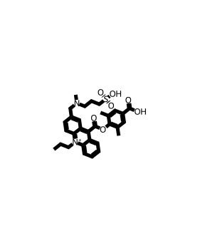 CCC[n+]1c2ccccc2c(C(=O)Oc2c(C)cc(C(=O)O)cc2C)c2cc(CN(C)CCCS(=O)(=O)O)ccc21